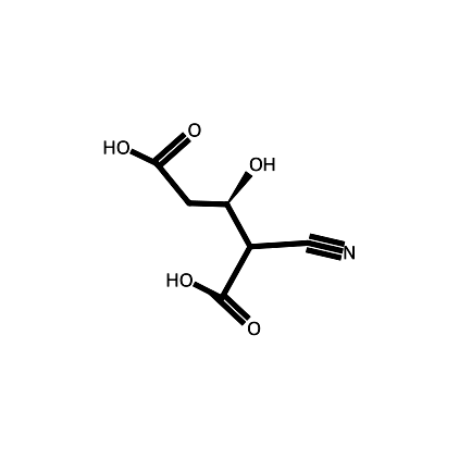 N#CC(C(=O)O)[C@H](O)CC(=O)O